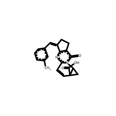 Cc1cccc(/C=C2/CCc3c2nc2n(c3=O)C3CC3(C(=O)O)C=C2)c1